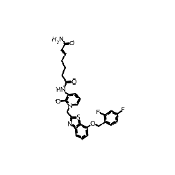 NC(=O)/C=C/CCCC(=O)Nc1cccn(Cc2nc3cccc(OCc4ccc(F)cc4F)c3s2)c1=O